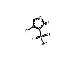 CC(C)S(=O)(=O)c1[nH]ncc1F